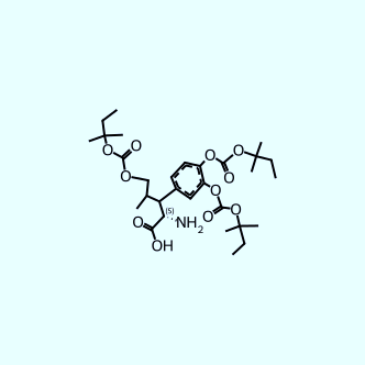 CCC(C)(C)OC(=O)OCC(C)C(c1ccc(OC(=O)OC(C)(C)CC)c(OC(=O)OC(C)(C)CC)c1)[C@H](N)C(=O)O